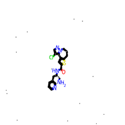 NC[C@H](Cc1cccnc1)NC(=O)c1cc2c(s1)CCCn1ncc(Cl)c1-2